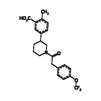 Cc1ccc(C2CCCN(C(=O)Cc3ccc(OC(F)(F)F)cc3)C2)cc1C(=O)O